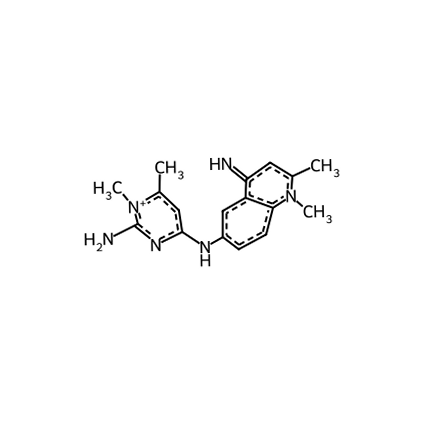 Cc1cc(=N)c2cc(Nc3cc(C)[n+](C)c(N)n3)ccc2n1C